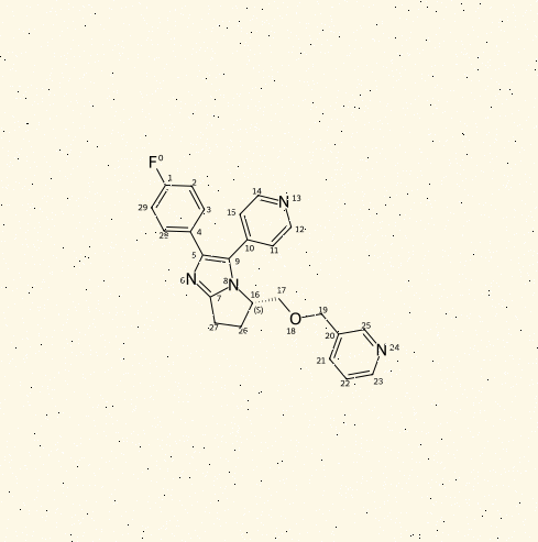 Fc1ccc(-c2nc3n(c2-c2ccncc2)[C@H](COCc2cccnc2)CC3)cc1